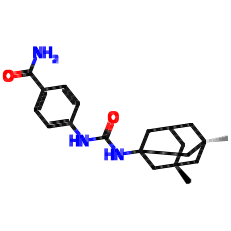 C[C@]12CC3CC(NC(=O)Nc4ccc(C(N)=O)cc4)(C1)C[C@@](C)(C3)C2